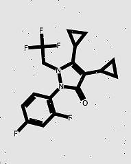 O=c1c(C2CC2)c(C2CC2)n(CC(F)(F)F)n1-c1ccc(F)cc1F